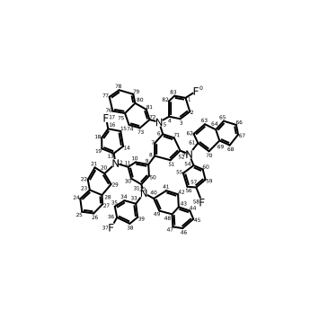 Fc1ccc(N(c2cc(-c3cc(N(c4ccc(F)cc4)c4ccc5ccccc5c4)cc(N(c4ccc(F)cc4)c4ccc5ccccc5c4)c3)cc(N(c3ccc(F)cc3)c3ccc4ccccc4c3)c2)c2ccc3ccccc3c2)cc1